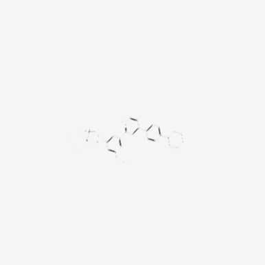 CC(C)(C)c1cc(B2OC(C)(C)C(C)(C)O2)cc(-c2cc(-c3ccc(C4CCCCC4)cc3)ccn2)c1